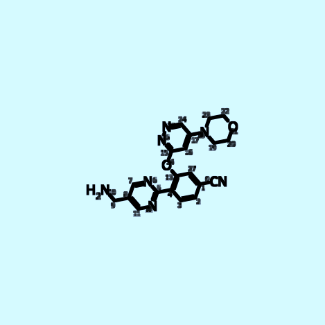 N#Cc1ccc(-c2ncc(CN)cn2)c(Oc2cc(N3CCOCC3)cnn2)c1